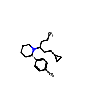 FC(F)(F)CC[C@@H](CCC1CC1)N1CC[CH]C[C@H]1c1ccc(C(F)(F)F)cc1